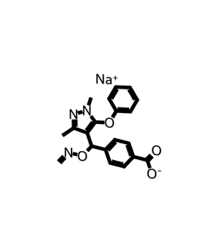 C=NOC(c1ccc(C(=O)[O-])cc1)c1c(C)nn(C)c1Oc1ccccc1.[Na+]